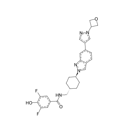 O=C(NC[C@H]1CC[C@H](n2cc3ccc(-c4cnn(C5COC5)c4)cc3n2)CC1)c1cc(F)c(O)c(F)c1